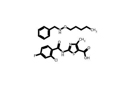 CCCCCONCc1ccccc1.Cc1nc(NC(=O)c2ccc(F)cc2Cl)sc1C(=O)O